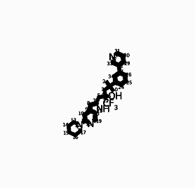 CC(C)(CC(O)(Cc1cc2cc(N3CCCCC3)ncc2[nH]1)C(F)(F)F)c1cccc(-c2cccnc2)c1